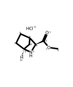 COC(=O)[C@H]1N[C@H]2CCC1C2.Cl